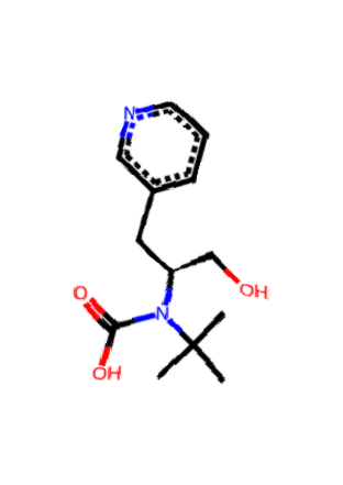 CC(C)(C)N(C(=O)O)[C@H](CO)Cc1cccnc1